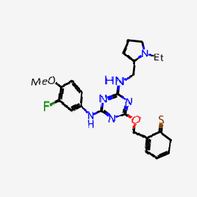 CCN1CCCC1CNc1nc(Nc2ccc(OC)c(F)c2)nc(OCC2=CC=CCC2=S)n1